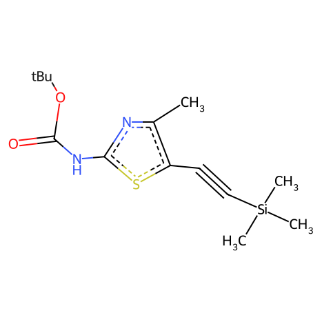 Cc1nc(NC(=O)OC(C)(C)C)sc1C#C[Si](C)(C)C